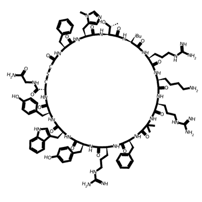 CC[C@H](C)[C@@H]1NC(=O)[C@H]([C@@H](C)O)NC(=O)[C@H](Cc2cncn2C)NC(=O)[C@H](Cc2ccccc2)NC(=O)CSC[C@@H](C(=O)NCC(N)=O)NC(=O)[C@H](Cc2ccc(O)cc2)NC(=O)[C@H](Cc2c[nH]c3ccccc23)NC(=O)[C@H](Cc2ccc(O)cc2)NC(=O)[C@H](CCCNC(=N)N)NC(=O)[C@H](Cc2ccccc2)NC(=O)C(C)(C)NC(=O)[C@H](CCCNC(=N)N)NC(=O)[C@H](CCCCN)NC(=O)[C@H](CCCNC(=N)N)NC1=O